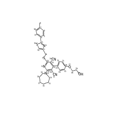 Cc1ccc(-c2nc(CSc3nc(N4CCCCCC4)c(C#N)c(-c4ccc(OCCO)cc4)c3C#N)cs2)cc1